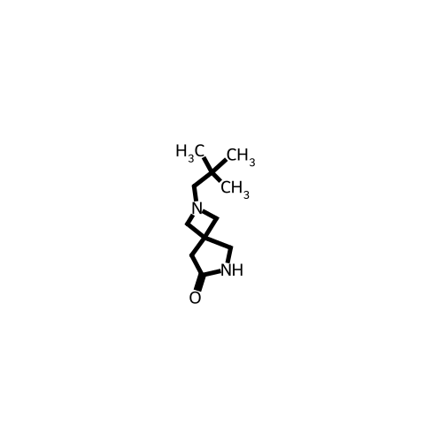 CC(C)(C)CN1CC2(CNC(=O)C2)C1